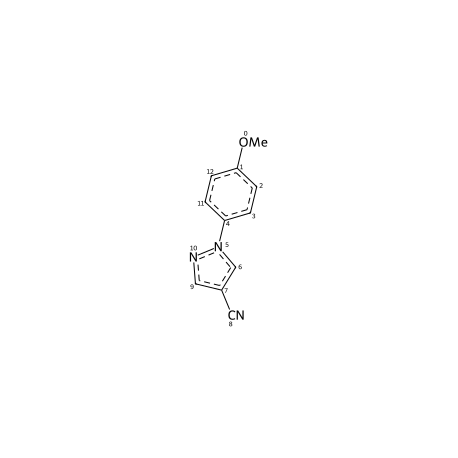 COc1ccc(-n2cc(C#N)cn2)cc1